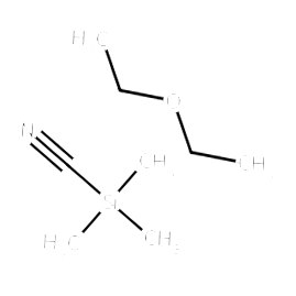 CCOCC.C[Si](C)(C)C#N